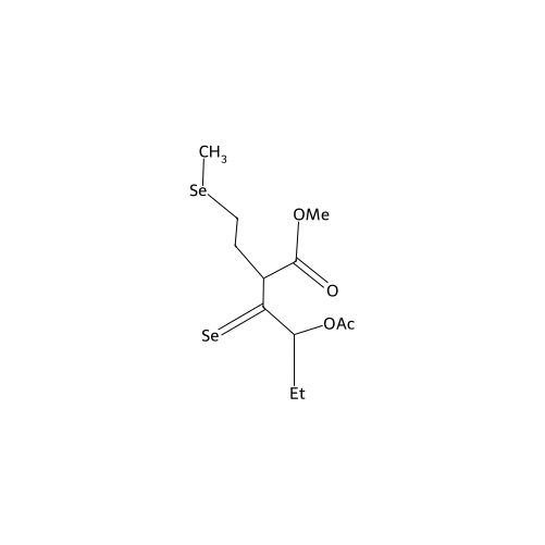 CCC(OC(C)=O)C(=[Se])C(CC[Se]C)C(=O)OC